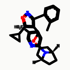 Cc1ccccc1-c1noc(C2CC2)c1CO[C@@H]1C[C@H]2CC[C@@H](C1)N2c1ccc(C(=O)O)cn1